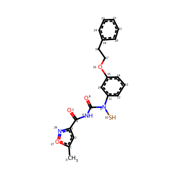 Cc1cc(C(=O)NC(=O)N(S)c2cccc(OCCc3ccccc3)c2)no1